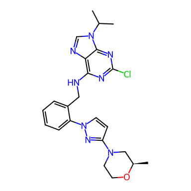 CC(C)n1cnc2c(NCc3ccccc3-n3ccc(N4CCO[C@H](C)C4)n3)nc(Cl)nc21